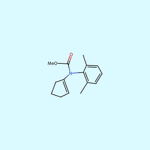 COC(=O)N(C1=CCCC1)c1c(C)cccc1C